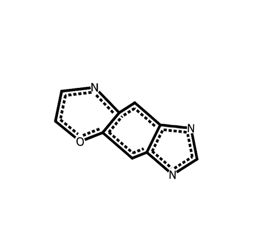 c1nc2cc3nccoc3cc2n1